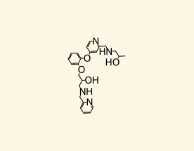 CC(O)CNCc1cc(Oc2ccccc2OCC(O)CNCc2ccccn2)ccn1